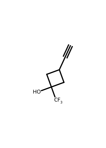 C#CC1CC(O)(C(F)(F)F)C1